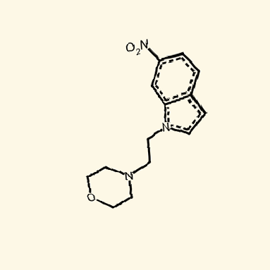 O=[N+]([O-])c1ccc2ccn(CCN3CCOCC3)c2c1